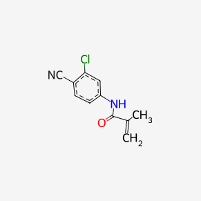 C=C(C)C(=O)Nc1ccc(C#N)c(Cl)c1